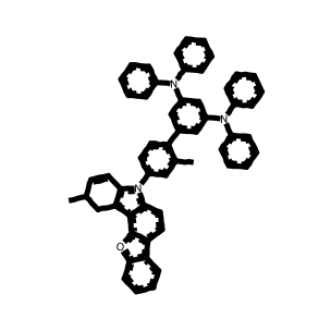 Cc1cc(-n2c3c(c4c5oc6ccccc6c5ccc42)CC(C)C=C3)ccc1-c1cc(N(c2ccccc2)c2ccccc2)cc(N(c2ccccc2)c2ccccc2)c1